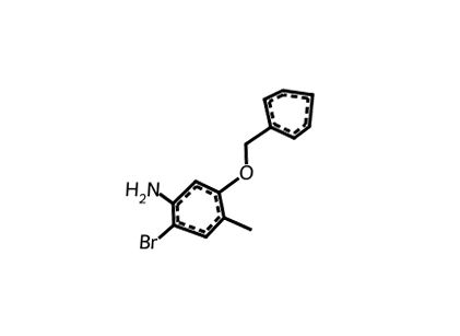 Cc1cc(Br)c(N)cc1OCc1ccccc1